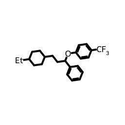 CCC1CCC(CCC(Oc2ccc(C(F)(F)F)cc2)c2ccccc2)CC1